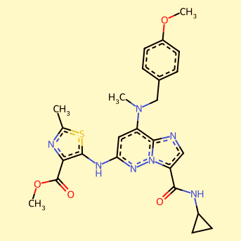 COC(=O)c1nc(C)sc1Nc1cc(N(C)Cc2ccc(OC)cc2)c2ncc(C(=O)NC3CC3)n2n1